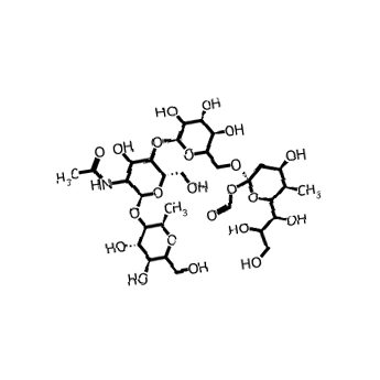 CC(=O)NC1C(O)C(O[C@@H]2OC(CO[C@]3(OC=O)C[C@@H](O)[C@@H](C)C(C(O)C(O)CO)O3)[C@H](O)[C@H](O)C2O)[C@H](CO)O[C@H]1OC1[C@@H](O)[C@H](O)C(CO)O[C@@H]1C